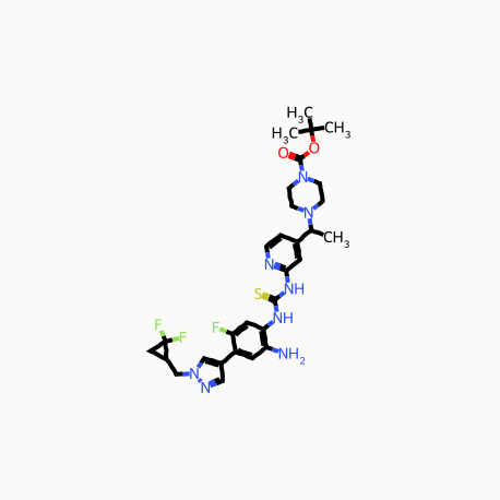 CC(c1ccnc(NC(=S)Nc2cc(F)c(-c3cnn(CC4CC4(F)F)c3)cc2N)c1)N1CCN(C(=O)OC(C)(C)C)CC1